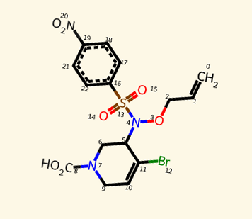 C=CCON(C1CN(C(=O)O)CC=C1Br)S(=O)(=O)c1ccc([N+](=O)[O-])cc1